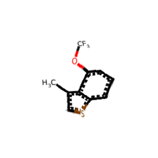 Cc1[c]sc2cccc(OC(F)(F)F)c12